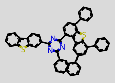 c1ccc(-c2cc(-c3ccccc3)c3sc4c(-c5ccccc5)ccc(-c5nc(-c6ccccc6)nc(-c6ccc7c(c6)sc6ccccc67)n5)c4c3c2)cc1